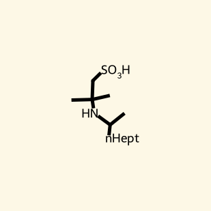 CCCCCCCC(C)NC(C)(C)CS(=O)(=O)O